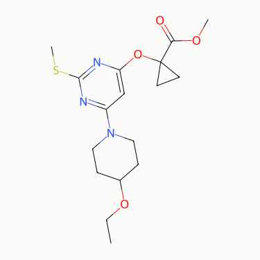 CCOC1CCN(c2cc(OC3(C(=O)OC)CC3)nc(SC)n2)CC1